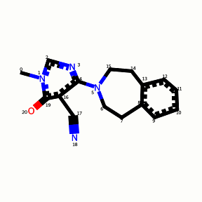 Cn1cnc(N2CCc3ccccc3CC2)c(C#N)c1=O